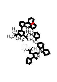 CC(C)Cc1cc(-n2c3ccccc3c3ccc(Oc4cccc(Nc5ccccc5Nc5c(-c6ccccc6)cccc5-c5cc(C(C)(C)C)cc(C(C)(C)C)c5)c4)cc32)ncc1-c1ccccc1